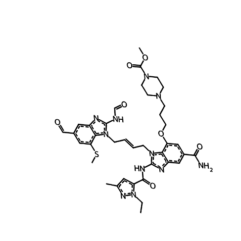 CCn1nc(C)cc1C(=O)Nc1nc2cc(C(N)=O)cc(OCCCN3CCN(C(=O)OC)CC3)c2n1C/C=C/Cn1c(NC=O)nc2cc(C=O)cc(SC)c21